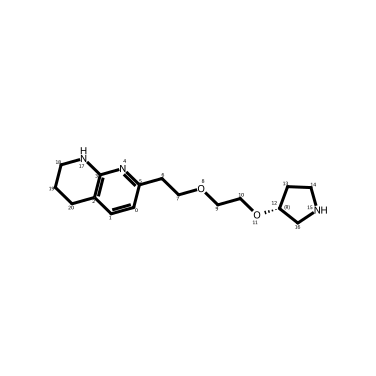 c1cc2c(nc1CCOCCO[C@@H]1CCNC1)NCCC2